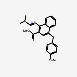 COC(=O)c1cc(Cc2ccc(OC)cc2)c2ccccc2c1/N=C/N(C)C